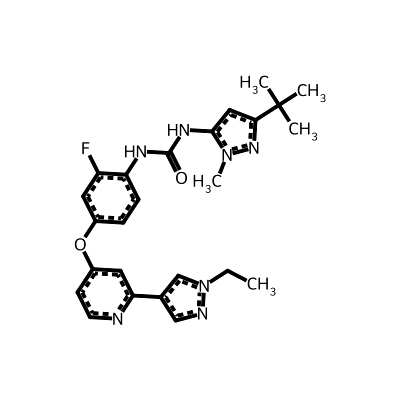 CCn1cc(-c2cc(Oc3ccc(NC(=O)Nc4cc(C(C)(C)C)nn4C)c(F)c3)ccn2)cn1